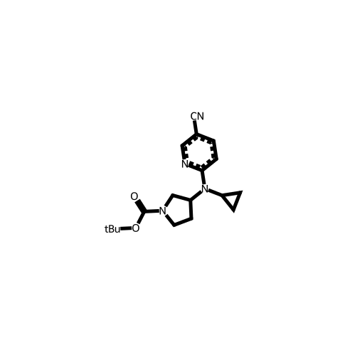 CC(C)(C)OC(=O)N1CCC(N(c2ccc(C#N)cn2)C2CC2)C1